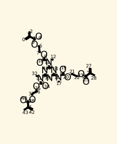 C=C(C)C(=O)OCCOC(=O)N(C)c1nc(N(C)C(=O)OCCOC(=O)C(=C)C)nc(N(C)C(=O)OCCOC(=O)C(=C)C)n1